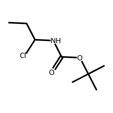 CCC(Cl)NC(=O)OC(C)(C)C